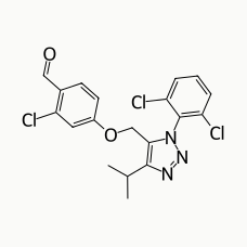 CC(C)c1nnn(-c2c(Cl)cccc2Cl)c1COc1ccc(C=O)c(Cl)c1